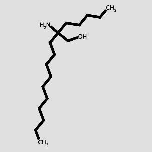 CCCCCCCCCCC(N)(CO)CCCCC